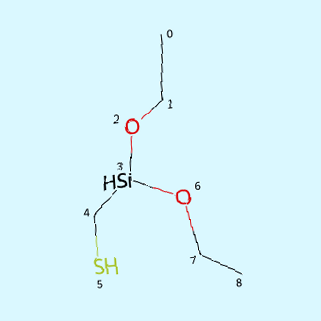 CCO[SiH](CS)OCC